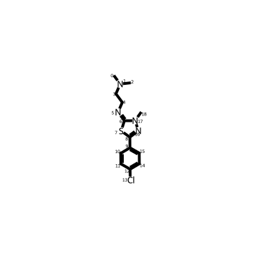 CN(C)CCN=c1sc(-c2ccc(Cl)cc2)nn1C